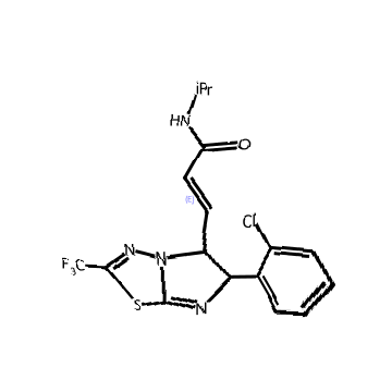 CC(C)NC(=O)/C=C/C1C(c2ccccc2Cl)N=C2SC(C(F)(F)F)=NN21